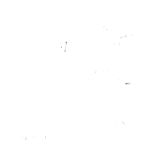 CCCCCC1CCC(C2CCC(COC(=O)CCCCC(=O)OCC(COC(=O)CC34CC5CC(CC(C5)C3)C4)COC(=O)OCCCN(CC)CC)CC2)CC1